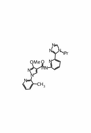 COc1nn(-c2ncccc2C)cc1C(=O)Nc1cccc(-c2nncn2C(C)C)n1